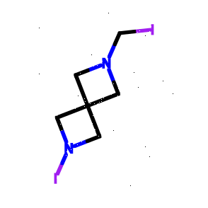 ICN1CC2(CN(I)C2)C1